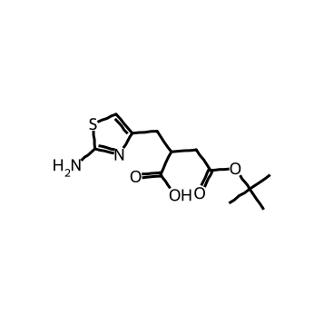 CC(C)(C)OC(=O)CC(Cc1csc(N)n1)C(=O)O